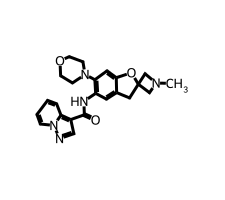 CN1CC2(Cc3cc(NC(=O)c4cnn5ccccc45)c(N4CCOCC4)cc3O2)C1